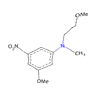 COCCN(C)c1cc(OC)cc([N+](=O)[O-])c1